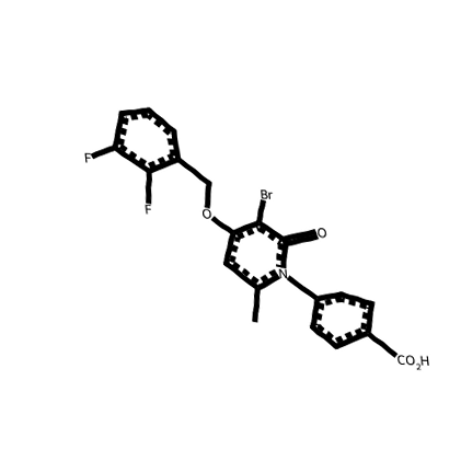 Cc1cc(OCc2cccc(F)c2F)c(Br)c(=O)n1-c1ccc(C(=O)O)cc1